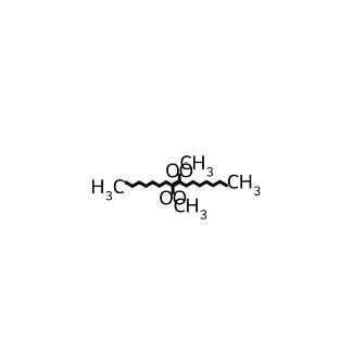 CCCCCCCCC(C(=O)OC)=C(CCCCCCCC)C(=O)OC